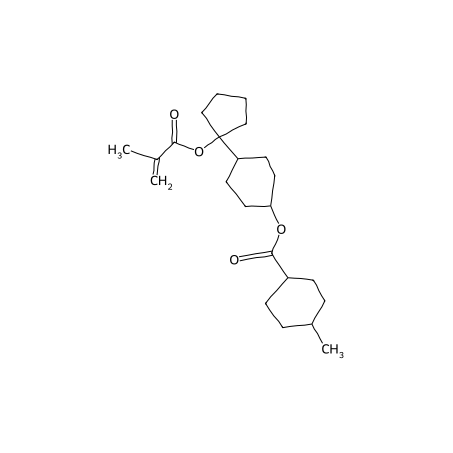 C=C(C)C(=O)OC1(C2CCC(OC(=O)C3CCC(C)CC3)CC2)CCCC1